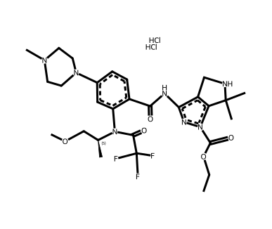 CCOC(=O)n1nc(NC(=O)c2ccc(N3CCN(C)CC3)cc2N(C(=O)C(F)(F)F)[C@@H](C)COC)c2c1C(C)(C)NC2.Cl.Cl